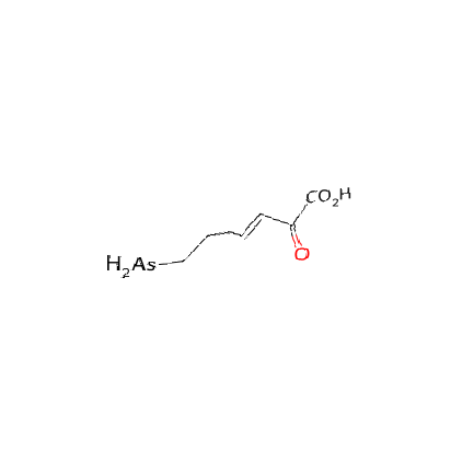 O=C(O)C(=O)C=CCC[AsH2]